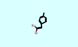 Cc1ccc(C=C(Br)Br)cc1